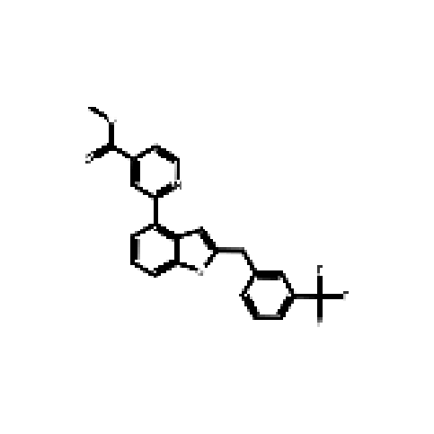 COC(=O)c1ccnc(-c2cccc3sc(Cc4cccc(C(F)(F)F)c4)cc23)c1